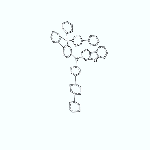 c1ccc(-c2ccc(-c3ccc(N(c4ccc5c(c4)C(c4ccccc4)(c4ccc(-c6ccccc6)cc4)c4ccccc4-5)c4ccc5c(c4)oc4ccccc45)cc3)cc2)cc1